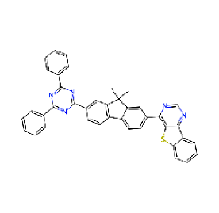 CC1(C)c2cc(-c3nc(-c4ccccc4)nc(-c4ccccc4)n3)ccc2-c2ccc(-c3ncnc4c3sc3ccccc34)cc21